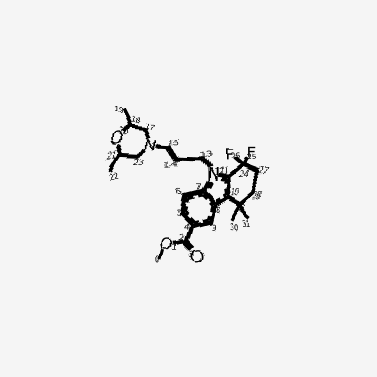 COC(=O)c1ccc2c(c1)c1c(n2CCCN2CC(C)OC(C)C2)C(F)(F)CCC1(C)C